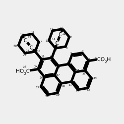 O=C(O)c1ccc2c3c(C45CCC(CC4)CC5)c(C45CCC(CC4)CC5)c(C(=O)O)c4cccc(c5cccc1c52)c43